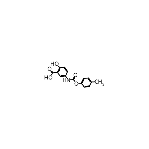 Cc1ccc(OC(=O)Nc2ccc(O)c(C(=O)O)c2)cc1